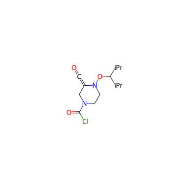 CC(C)C(ON1CCN(C(=O)Cl)CC1=C=O)C(C)C